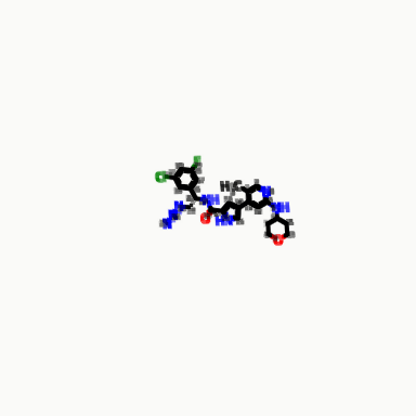 Cc1cnc(NC2CCOCC2)cc1-c1c[nH]c(C(=O)N[C@H](CN=[N+]=[N-])c2cc(F)cc(Cl)c2)c1